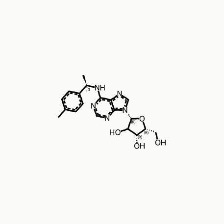 Cc1ccc([C@@H](C)Nc2ncnc3c2ncn3[C@@H]2O[C@H](CO)[C@H](O)C2O)cc1